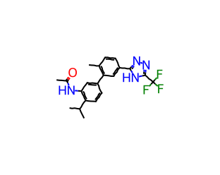 CC(=O)Nc1cc(-c2cc(-c3nnc(C(F)(F)F)[nH]3)ccc2C)ccc1C(C)C